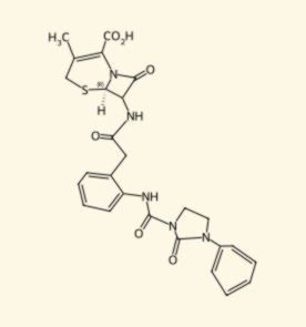 CC1=C(C(=O)O)N2C(=O)C(NC(=O)Cc3ccccc3NC(=O)N3CCN(c4ccccc4)C3=O)[C@H]2SC1